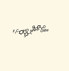 COC(=O)c1ccc(C(=O)NN=C(C)c2csc(-c3ccc(C(F)(F)F)cc3)c2O)s1